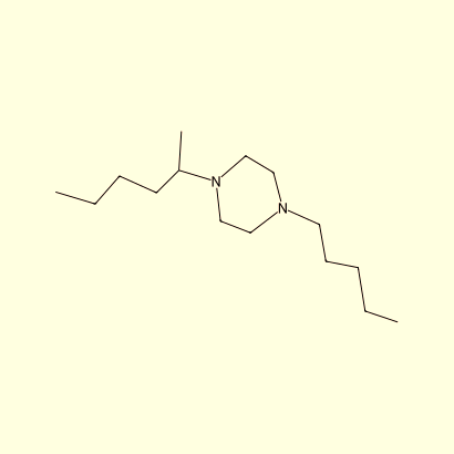 CCCCCN1CCN(C(C)CCCC)CC1